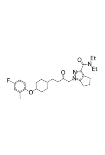 CCN(CC)C(=O)c1nn(CC(=O)CCC2CCC(Oc3ccc(F)cc3C)CC2)c2c1CCC2